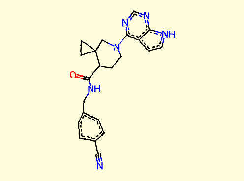 N#Cc1ccc(CNC(=O)C2CCN(c3ncnc4[nH]ccc34)CC23CC3)cc1